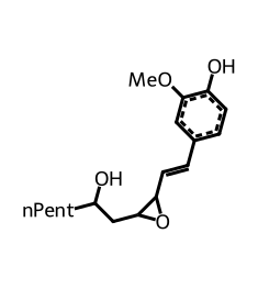 CCCCCC(O)CC1OC1/C=C/c1ccc(O)c(OC)c1